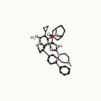 CN1CCN(c2nnc(C(=O)N3C4CCC3CC(c3nc5c(-c6ccc(-c7ccccc7)nc6)cnn5c(N)c3C3CC3)C4)[nH]2)CC1